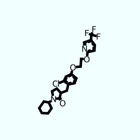 O=C1C(Cc2ccc(OCCOc3ccc(C(F)(F)F)cn3)cc2Cl)CCN1C1CCCCC1